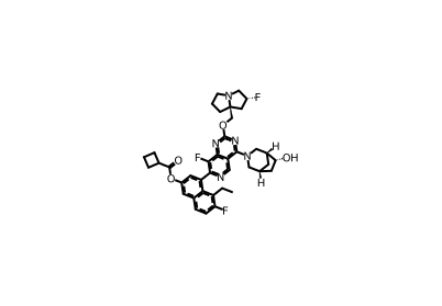 CCc1c(F)ccc2cc(OC(=O)C3CCC3)cc(-c3ncc4c(N5C[C@@H]6C[C@H](C5)[C@H](O)C6)nc(OC[C@@]56CCCN5C[C@H](F)C6)nc4c3F)c12